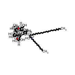 CCCCCCCCCCCCC/C=C/[C@@H](O)[C@H](CO[C@@H]1OC(CO)[C@@H](O[C@@H]2OC(CO)[C@H](O)[C@H](O[C@@H]3OC(CO)[C@@H](O[C@@H]4OC(CO)[C@H](O[C@@H]5OC(CO)[C@H](O)[C@H](O)C5O)[C@H](O)C4O)[C@H](O)C3NC(C)=O)C2O)[C@H](O)C1O)NC(=O)CCCCCCCCCCCCCCCCCCCCCCC